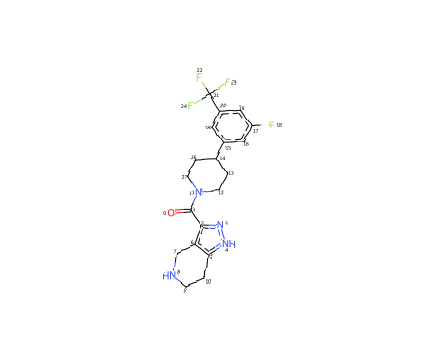 O=C(c1n[nH]c2c1CNCC2)N1CCC(c2cc(F)cc(C(F)(F)F)c2)CC1